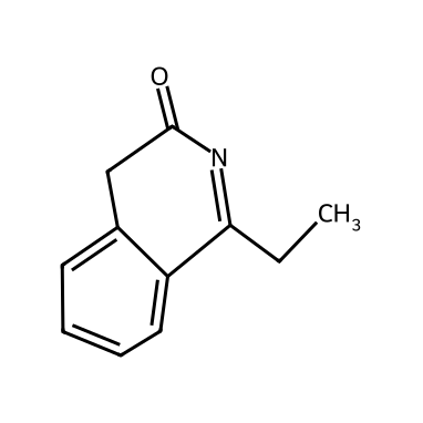 CCC1=NC(=O)Cc2ccccc21